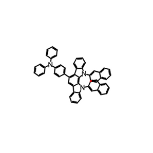 c1ccc(N(c2ccccc2)c2ccc(-c3cc4c5ccccc5n(-c5ccc6ccccc6c5)c4c4c3c3ccccc3n4-c3ccc4ccccc4c3)cc2)cc1